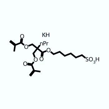 C=C(C)C(=O)OCC(CCC)(COC(=O)C(=C)C)C(=O)OCCCCCCS(=O)(=O)O.[KH]